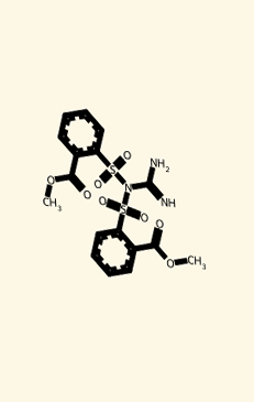 COC(=O)c1ccccc1S(=O)(=O)N(C(=N)N)S(=O)(=O)c1ccccc1C(=O)OC